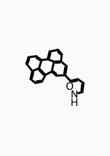 C1=CNOC(c2cc3cccc4c5cccc6cccc(c(c2)c34)c65)=C1